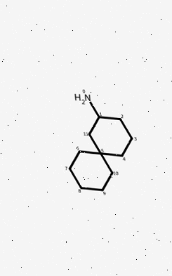 NC1CCCC2(CCCCC2)C1